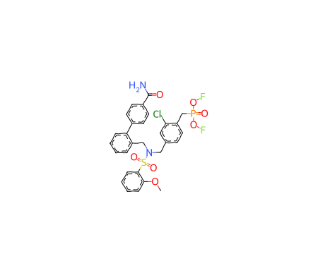 COc1ccccc1S(=O)(=O)N(Cc1ccc(CP(=O)(OF)OF)c(Cl)c1)Cc1ccccc1-c1ccc(C(N)=O)cc1